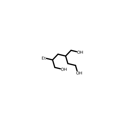 CCC(CO)CC(CO)CCO